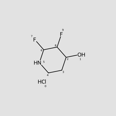 Cl.OC1CCNC(F)C1F